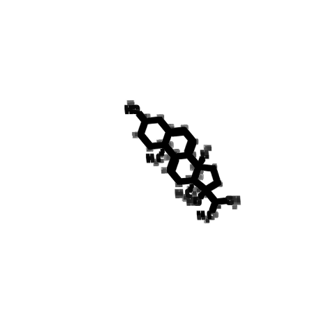 CC(O)[C@@]1(O)CC[C@H]2C3=CC=C4CC(O)CC[C@]4(C)C3=CC[C@@]21C